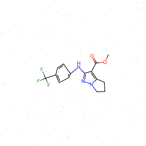 COC(=O)c1c(Nc2ccc(C(F)(F)F)cc2)nn2c1CCC2